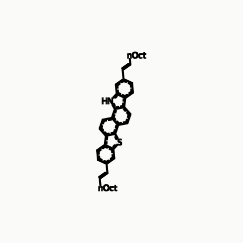 CCCCCCCC/C=C/c1ccc2c(c1)[nH]c1c2ccc2c1ccc1c3ccc(/C=C/CCCCCCCC)cc3sc12